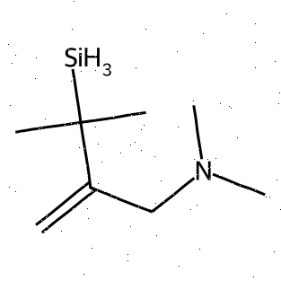 C=C(CN(C)C)C(C)(C)[SiH3]